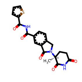 C[C@]1(N2Cc3ccc(C(=O)NC(=O)c4cccs4)cc3C2=O)CCC(=O)NC1=O